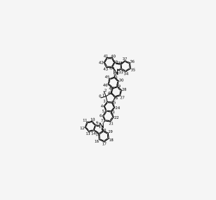 CC1(C)c2cc3cc(-n4c5ccccc5c5ccccc54)ccc3cc2-c2ccc3cc(-n4c5ccccc5c5ccccc54)ccc3c21